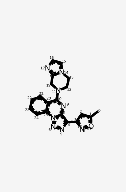 Cc1cc(-c2nnn3c2nc(N2CCn4ccnc4C2)c2ccccc23)no1